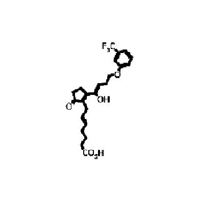 O=C(O)CCCC=CCC1=C(C(O)=CCCOc2cccc(C(F)(F)F)c2)CCC1=O